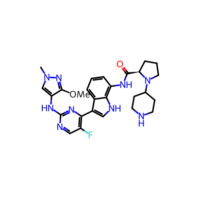 COc1nn(C)cc1Nc1ncc(F)c(-c2c[nH]c3c(NC(=O)[C@H]4CCCN4C4CCNCC4)cccc23)n1